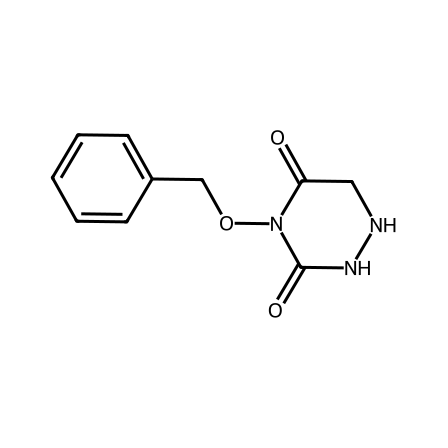 O=C1CNNC(=O)N1OCc1ccccc1